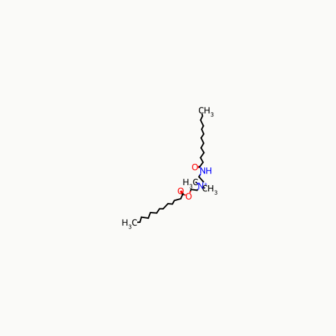 CCCCCCCCCCCCC(=O)NCC[N+](C)(C)CCOC(=O)CCCCCCCCCCCC